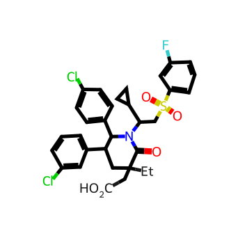 CCC1(CC(=O)O)CC(c2cccc(Cl)c2)C(c2ccc(Cl)cc2)N(C(CS(=O)(=O)c2cccc(F)c2)C2CC2)C1=O